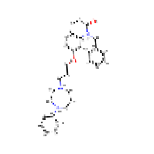 O=C1CCc2ccc(OCCCN3CCCN(c4ccccc4)CC3)cc2N1Cc1ccccc1